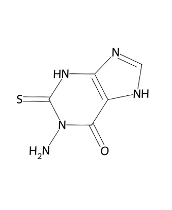 Nn1c(=S)[nH]c2nc[nH]c2c1=O